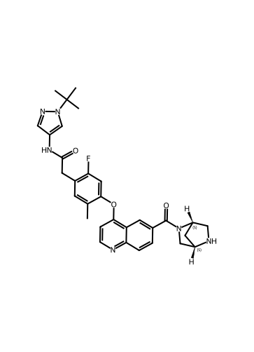 Cc1cc(CC(=O)Nc2cnn(C(C)(C)C)c2)c(F)cc1Oc1ccnc2ccc(C(=O)N3C[C@@H]4C[C@H]3CN4)cc12